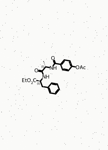 CCOC(=O)[C@H](Cc1ccccc1)NC(=O)[C@H](C)NC(=O)c1ccc(OC(C)=O)cc1